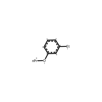 CCCOc1cccc(CC)c1